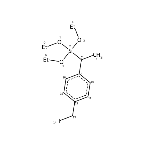 CCO[Si](OCC)(OCC)C(C)c1ccc(CI)cc1